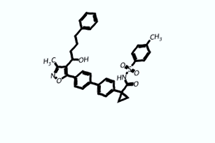 Cc1ccc(S(=O)(=O)NC(=O)C2(c3ccc(-c4ccc(-c5onc(C)c5C(O)CCCc5ccccc5)cc4)cc3)CC2)cc1